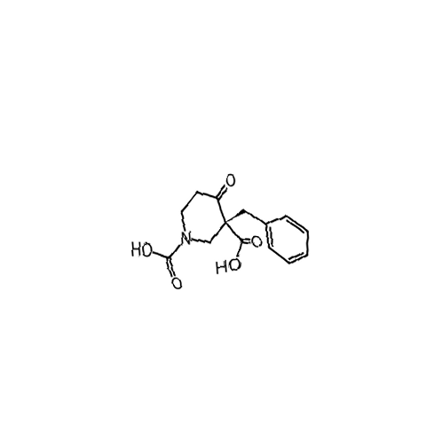 O=C(O)N1CCC(=O)[C@](Cc2ccccc2)(C(=O)O)C1